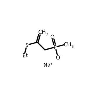 C=C(CP(C)(=O)[O-])SCC.[Na+]